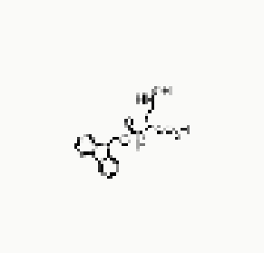 O=C(NC(CCNO)C(=O)O)OCC1c2ccccc2-c2ccccc21